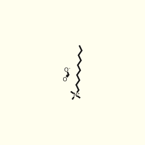 CCCCCCCCCC[N+](C)(C)C.O=C[O-]